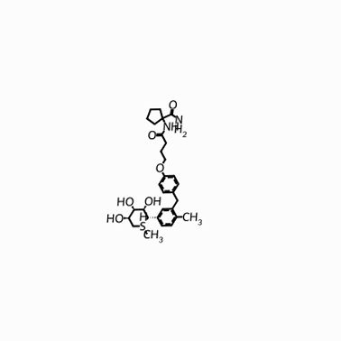 Cc1ccc([C@H]2[C@H](O)[C@H](O)[C@H](O)C[SH]2C)cc1Cc1ccc(OCCCC(=O)NC2(C(N)=O)CCCC2)cc1